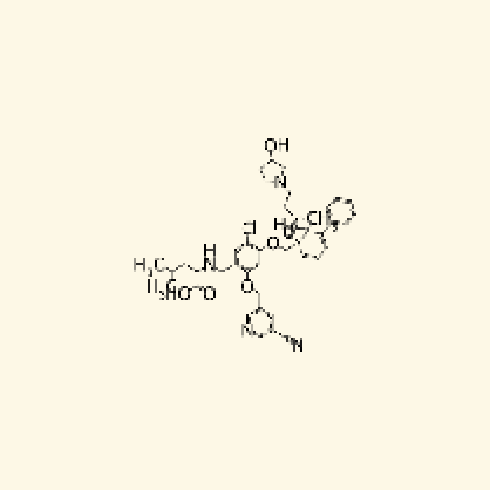 CC(C)CC(NCc1cc(Cl)c(OCC2(OCCCN3CC[C@@H](O)C3)C=CC=C(c3ccccc3)C2(C)C)cc1OCc1cncc(C#N)c1)C(=O)O